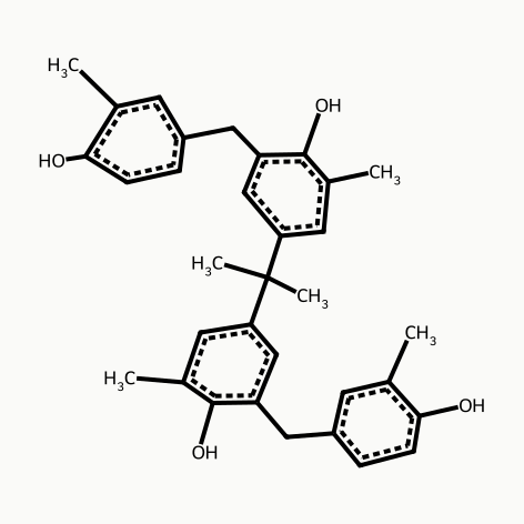 Cc1cc(Cc2cc(C(C)(C)c3cc(C)c(O)c(Cc4ccc(O)c(C)c4)c3)cc(C)c2O)ccc1O